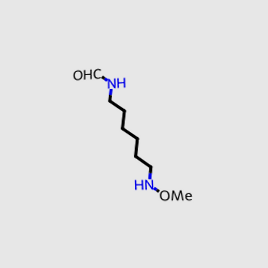 CONCCCCCCNC=O